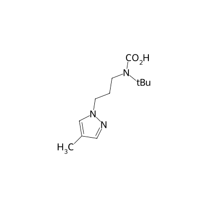 Cc1cnn(CCCN(C(=O)O)C(C)(C)C)c1